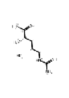 Cl.N=C(N)NCCC[C@H](N)C(N)=O